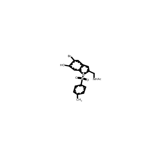 CC(=O)NCc1cc2cc(Br)c(O)cc2n1S(=O)(=O)c1ccc(C)cc1